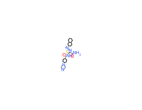 CN1CCN(c2ccc(C(=O)Nc3sc(N(C)c4ccc5ccccc5c4)nc3C(N)=O)cc2)CC1